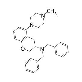 CN1CCN(c2cccc3c2C[C@H](N(Cc2ccccc2)Cc2ccccc2)CO3)CC1